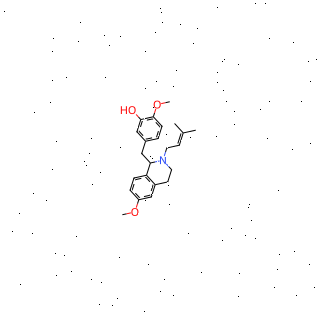 COc1ccc2c(c1)CCN(CC=C(C)C)C2Cc1ccc(OC)c(O)c1